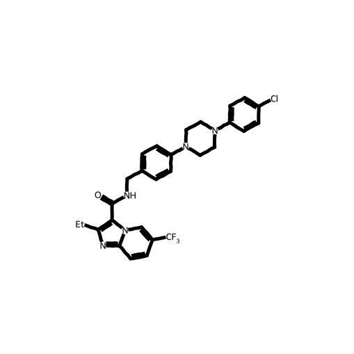 CCc1nc2ccc(C(F)(F)F)cn2c1C(=O)NCc1ccc(N2CCN(c3ccc(Cl)cc3)CC2)cc1